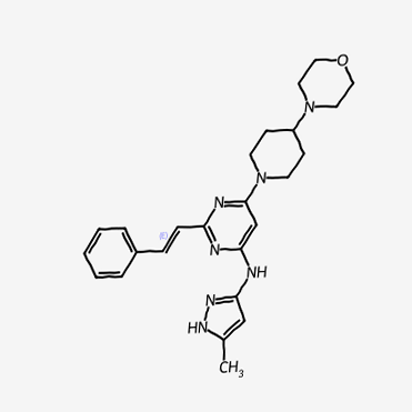 Cc1cc(Nc2cc(N3CCC(N4CCOCC4)CC3)nc(/C=C/c3ccccc3)n2)n[nH]1